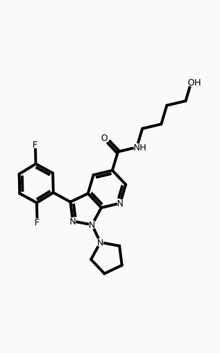 O=C(NCCCCO)c1cnc2c(c1)c(-c1cc(F)ccc1F)nn2N1CCCC1